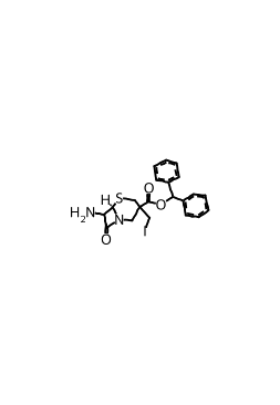 NC1C(=O)N2CC(CI)(C(=O)OC(c3ccccc3)c3ccccc3)CS[C@H]12